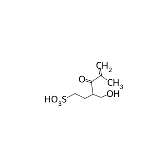 C=C(C)C(=O)C(CO)CCS(=O)(=O)O